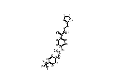 O=C(NCCc1cccs1)c1ccc(C[NH+]([O-])Cc2ccc(C(F)(F)F)cc2)cc1